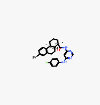 CC(C)c1ccc2c(c1)CC[C@H]1[C@](C)(C(=O)Nc3cc(Nc4ccc(F)cc4)ncn3)CCC[C@]21C